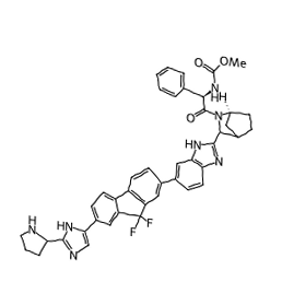 COC(=O)N[C@@H](C(=O)N1C(c2nc3ccc(-c4ccc5c(c4)C(F)(F)c4cc(-c6cnc(C7CCCN7)[nH]6)ccc4-5)cc3[nH]2)C2CC[C@H]1C2)c1ccccc1